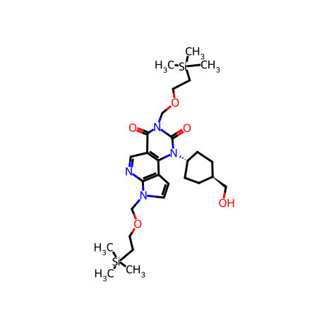 C[Si](C)(C)CCOCn1c(=O)c2cnc3c(ccn3COCC[Si](C)(C)C)c2n([C@H]2CC[C@H](CO)CC2)c1=O